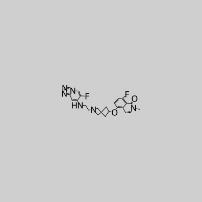 Cn1ccc2c(OC3CC4(C3)CN(CCNc3cc5nncn5cc3F)C4)ccc(F)c2c1=O